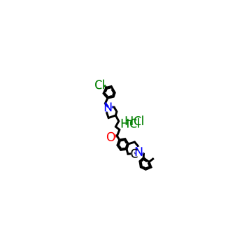 Cc1ccccc1CN1CCc2ccc(C(=O)CCCC3CCN(Cc4cccc(Cl)c4)CC3)cc2CC1.Cl.Cl